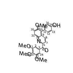 COc1cc(C(=O)c2ccc3c(-c4ccc(O)cc4)c(OC)ccc3n2)cc(OC)c1OC